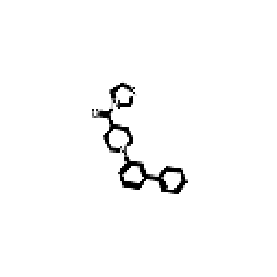 O=C(C1CCN(c2cccc(-c3ccccc3)c2)CC1)N1CCSC1